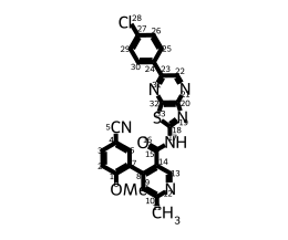 COc1ccc(C#N)cc1-c1cc(C)ncc1C(=O)Nc1nc2ncc(-c3ccc(Cl)cc3)nc2s1